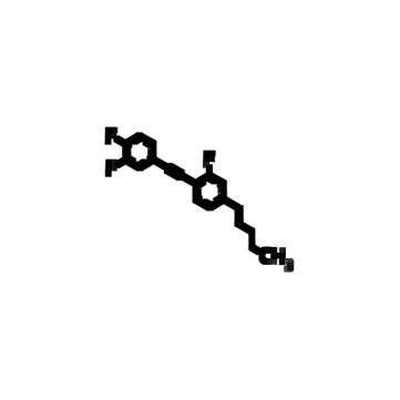 CCC/C=C/c1ccc(C#Cc2ccc(F)c(F)c2)c(F)c1